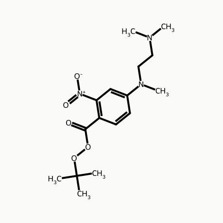 CN(C)CCN(C)c1ccc(C(=O)OOC(C)(C)C)c([N+](=O)[O-])c1